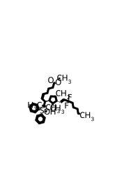 C=C1C[C@H](C(/C=C\CCCC(=O)OC)C(C)(C)[Si](O)(c2ccccc2)c2ccccc2)[C@H](C)[C@H]1/C=C/C(F)(F)CCCCC